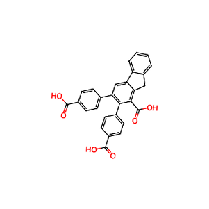 O=C(O)c1ccc(-c2cc3c(c(C(=O)O)c2-c2ccc(C(=O)O)cc2)Cc2ccccc2-3)cc1